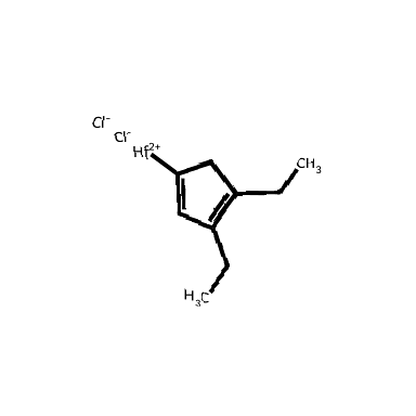 CCC1=C(CC)C[C]([Hf+2])=C1.[Cl-].[Cl-]